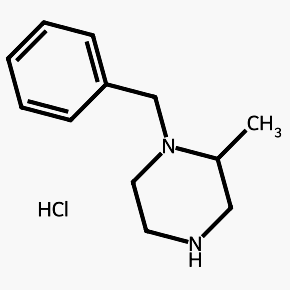 CC1CNCCN1Cc1ccccc1.Cl